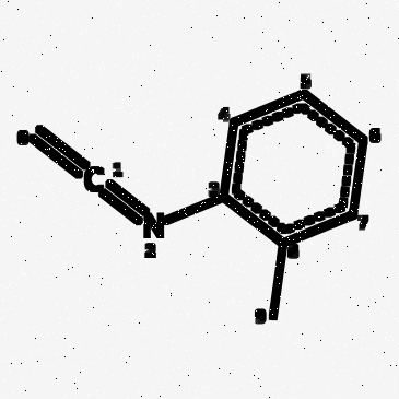 C=C=Nc1ccccc1C